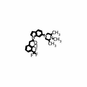 CC1CN(c2ccc3ccn(C(=O)Cc4cccc(C(F)(F)F)c4Cl)c3c2)CC(C)N1C